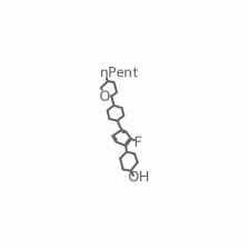 CCCCCC1CCC(C2CCC(c3ccc(C4CCC(O)CC4)c(F)c3)CC2)OC1